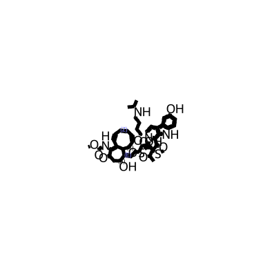 COC(=O)NC1=C2C#C/C=C\C#C[C@H](OC3OC(C)C(SC)(C(=O)c4nccc5c4[nH]c4ccc(O)cc45)C(O)C3OCCCCNC(C)C)C2/C(=C\CSC(C)=O)[C@@H](O)CC1=O